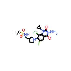 CS(=O)(=O)NCC1CCN(c2c(F)cc3c(=O)n(N)c(=O)n(C4CC4)c3c2Cl)C1